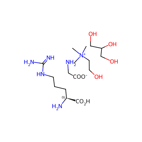 C[N+](C)(C)CCO.N=C(N)NCCC[C@H](N)C(=O)O.NCC(=O)[O-].OCC(O)CO